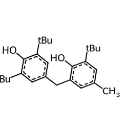 Cc1cc(Cc2cc(C(C)(C)C)c(O)c(C(C)(C)C)c2)c(O)c(C(C)(C)C)c1